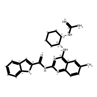 Cc1ccc2nc(NC(=O)c3cc4ccccc4s3)nc(N[C@@H]3CCCC[C@@H]3NC(=N)N)c2c1